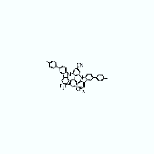 Cc1ccc(-c2ccc3c(c2)c2ccccc2n3-c2cc(C#N)cc(-n3c4ccccc4c4cc(-c5ccc(C)cc5)ccc43)c2-c2cc(C(F)(F)F)cc(C(F)(F)F)c2)cc1